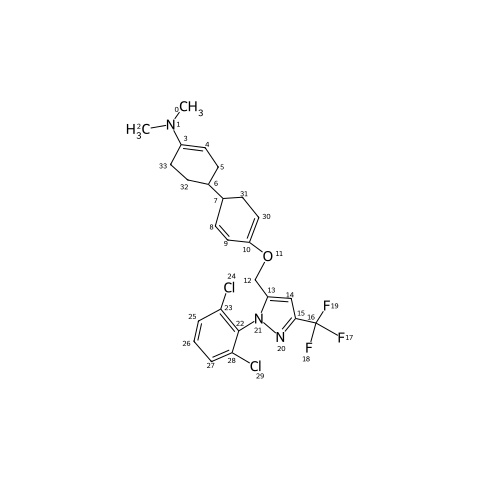 CN(C)C1=CCC(C2C=CC(OCc3cc(C(F)(F)F)nn3-c3c(Cl)cccc3Cl)=CC2)CC1